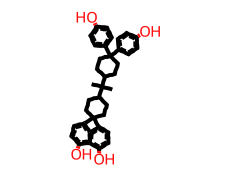 CC(C)(C1CCC(c2ccc(O)cc2)(c2ccc(O)cc2)CC1)C1CCC2(CC1)c1ccc(O)c3c(O)ccc2c13